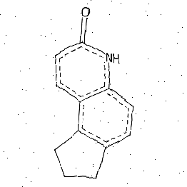 O=c1ccc2c3c(ccc2[nH]1)CCC3